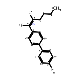 CCCC/C(F)=C(/F)c1ccc(-c2ccc(F)cc2)cc1